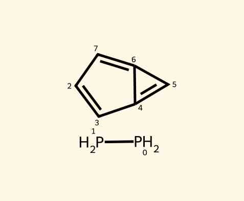 PP.c1cc2cc-2c1